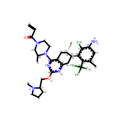 C=CC(=O)N1CCN(c2nc(OCC3CCCN3C)nc3c2C[C@H](C)[C@@H](c2c(F)c(N)cc(C)c2C(F)(F)F)C3)C(C)C1